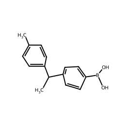 Cc1ccc(C(C)c2ccc(B(O)O)cc2)cc1